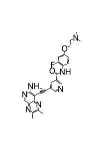 Cc1nc2cnc(N)c(C#Cc3cncc(C(=O)Nc4ccc(OCCN(C)C)cc4F)c3)c2nc1C